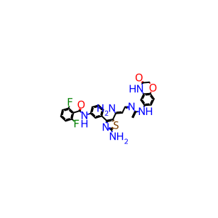 C=C(/N=C\C=C(/N)c1sc(N)nc1-c1cccc(NC(=O)c2c(F)cccc2F)c1)Nc1ccc2c(c1)NC(=O)CO2